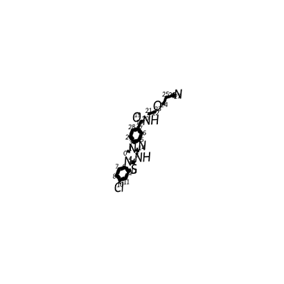 Cn1c(Nc2nc3ccc(Cl)cc3s2)nc2cc(C(=O)NCCOCCC#N)ccc21